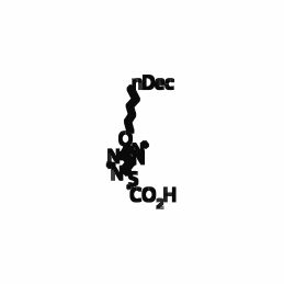 CCCCCCCCCCCCCCCCOc1c2ncnc(SCC(=O)O)c2nn1C